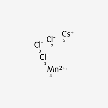 [Cl-].[Cl-].[Cl-].[Cs+].[Mn+2]